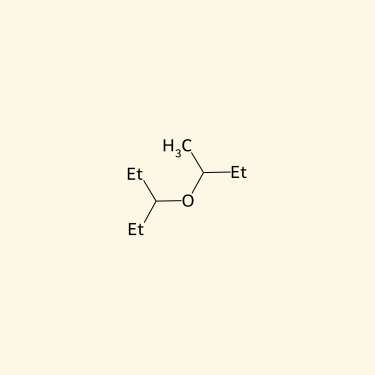 CCC(C)OC(CC)CC